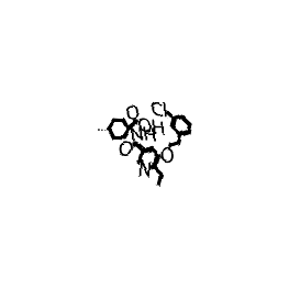 CCc1ncc(C(=O)N[C@]2(C(=O)O)CC[C@H](C)CC2)cc1OCCc1cccc(Cl)c1